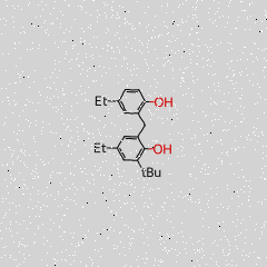 CCc1ccc(O)c(Cc2cc(CC)cc(C(C)(C)C)c2O)c1